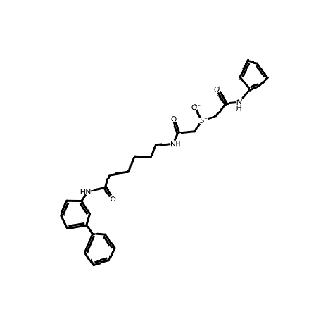 O=C(C[S+]([O-])CC(=O)Nc1ccccc1)NCCCCCC(=O)Nc1cccc(-c2ccccc2)c1